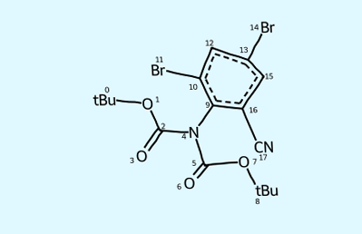 CC(C)(C)OC(=O)N(C(=O)OC(C)(C)C)c1c(Br)cc(Br)cc1C#N